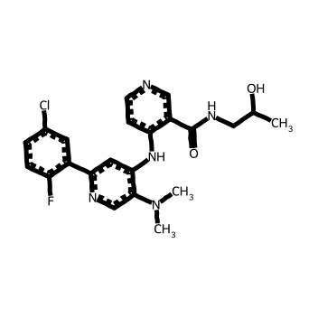 CC(O)CNC(=O)c1cnccc1Nc1cc(-c2cc(Cl)ccc2F)ncc1N(C)C